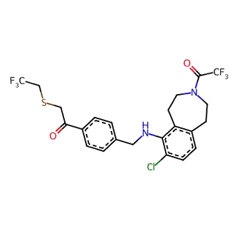 O=C(CSCC(F)(F)F)c1ccc(CNc2c(Cl)ccc3c2CCN(C(=O)C(F)(F)F)CC3)cc1